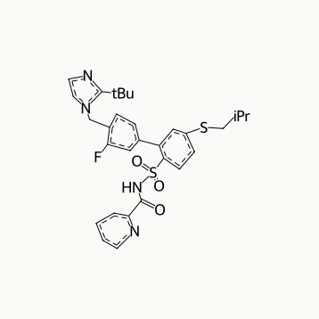 CC(C)CSc1ccc(S(=O)(=O)NC(=O)c2ccccn2)c(-c2ccc(Cn3ccnc3C(C)(C)C)c(F)c2)c1